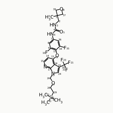 CC1(CNC(=O)Nc2cc(F)c(Oc3ccnc4c3c(C(F)(F)F)cn4COCC[Si](C)(C)C)c(F)c2)COC1